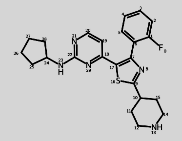 Fc1ccccc1-c1nc(C2CCNCC2)sc1-c1ccnc(NC2CCCC2)n1